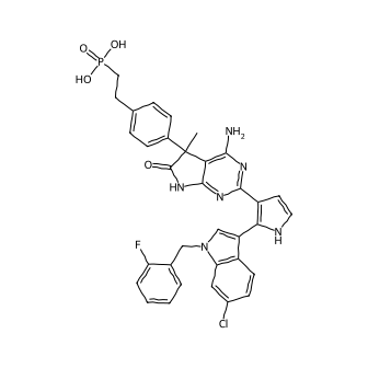 CC1(c2ccc(CCP(=O)(O)O)cc2)C(=O)Nc2nc(-c3cc[nH]c3-c3cn(Cc4ccccc4F)c4cc(Cl)ccc34)nc(N)c21